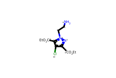 CCOC(=O)c1nn(CCN)c(C(=O)OCC)c1Cl